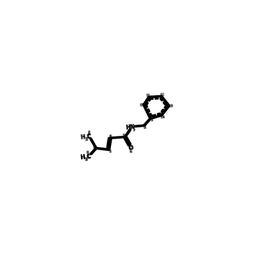 CC(C)/C=C/C(=O)NCc1ccccc1